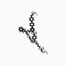 C=CC(=O)OCCCCOC(=O)C1CCC(C(=O)Oc2ccc(C3CCC(C4CCC(CCC)CC4)CC3)cc2/C=N/N(CCOCCOC)c2nc3ccccc3s2)CC1